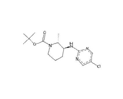 C[C@@H]1[C@@H](Nc2ncc(Cl)cn2)CCCN1C(=O)OC(C)(C)C